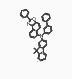 CC1(C)c2ccccc2-c2ccc(N(c3cccc(-c4ccccc4)c3)c3cccc4c3ccc3oc(-c5ccccc5)nc34)cc21